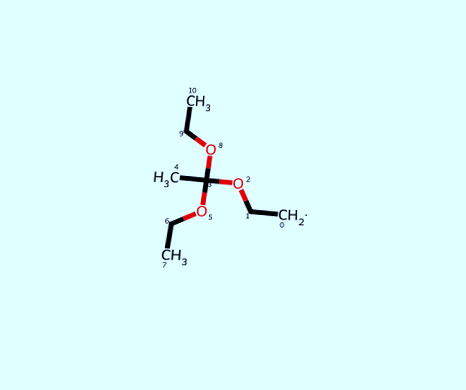 [CH2]COC(C)(OCC)OCC